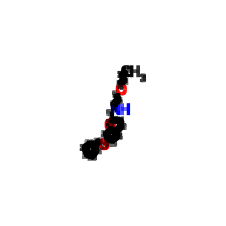 CCCCOCCCNC[C@H]1CCc2ccc(OCc3ccccc3)cc2O1